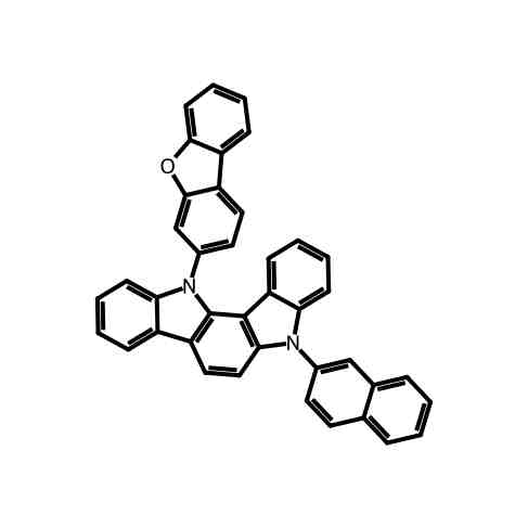 c1ccc2cc(-n3c4ccccc4c4c3ccc3c5ccccc5n(-c5ccc6c(c5)oc5ccccc56)c34)ccc2c1